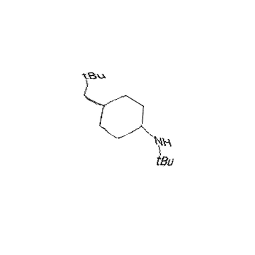 CC(C)(C)CC1CCC(NC(C)(C)C)CC1